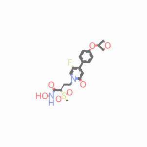 CS(=O)(=O)[C@H](CCn1cc(F)c(-c2ccc(OC3COC3)cc2)cc1=O)C(=O)NO